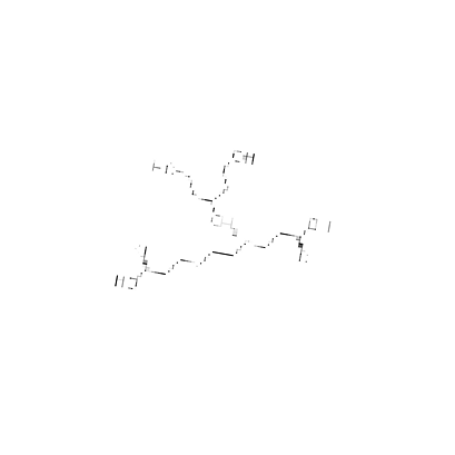 CC(CCO)CCO.O=C(O)CCCCCCCCC(=O)O